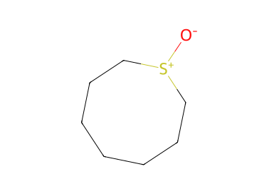 [O-][S+]1CCCCCCC1